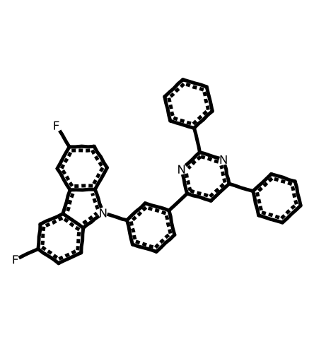 Fc1ccc2c(c1)c1cc(F)ccc1n2-c1cccc(-c2cc(-c3ccccc3)nc(-c3ccccc3)n2)c1